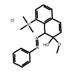 COC1(O)C=Cc2cccc([N+](C)(C)C)c2C1N=Nc1ccccc1.[Cl-]